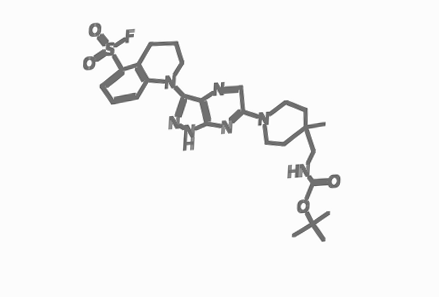 CC1(CNC(=O)OC(C)(C)C)CCN(c2cnc3c(N4CCCc5c4cccc5S(=O)(=O)F)n[nH]c3n2)CC1